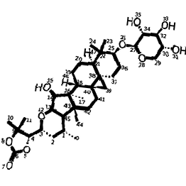 C[C@@H]1C[C@H]([C@@H]2OC(=O)OC2(C)C)OC2C(O)[C@@]3(C)[C@@H]4CC[C@H]5C(C)(C)[C@@H](O[C@@H]6OC[C@@H](O)[C@H](O)[C@H]6O)CC[C@@]56C[C@@]46CC[C@]3(C)C21